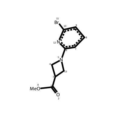 COC(=O)C1CN(c2cccc(Br)n2)C1